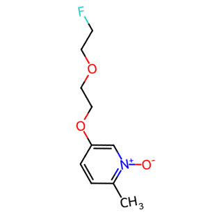 Cc1ccc(OCCOCCF)c[n+]1[O-]